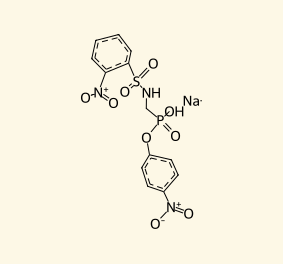 O=[N+]([O-])c1ccc(OP(=O)(O)CNS(=O)(=O)c2ccccc2[N+](=O)[O-])cc1.[Na]